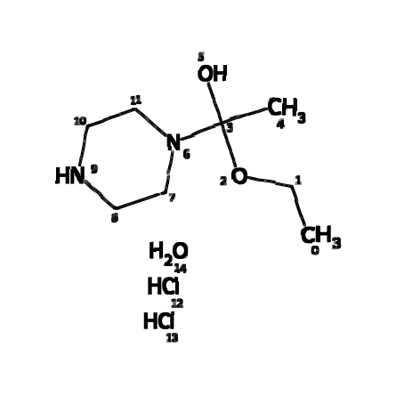 CCOC(C)(O)N1CCNCC1.Cl.Cl.O